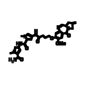 C=C1CC2C=Nc3cc(OCCCC(=O)Nc4cc(C(=O)Nc5cc(C(N)=O)n(C)c5)n(C)c4)c(OC)cc3C(=O)N2C1